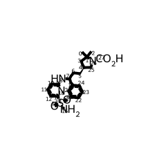 CC1(C)C[C@H](CCC(Nc2cccc(S(N)(=O)=O)n2)c2ccccc2)CN1C(=O)O